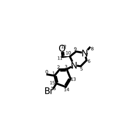 Cc1cc(N2CCN(C)C[C@@H]2C=O)ccc1Br